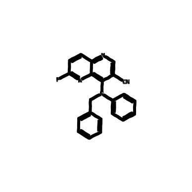 N#Cc1cnc2ccc(F)nc2c1N(Cc1ccccc1)c1ccccc1